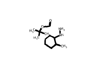 CC(C)(C)OC=O.CC1CCCCC1NN